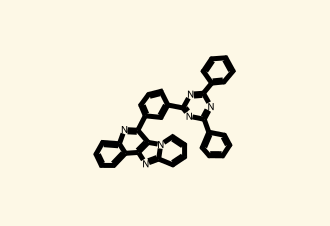 c1ccc(-c2nc(-c3ccccc3)nc(-c3cccc(-c4nc5ccccc5c5nc6ccccn6c45)c3)n2)cc1